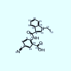 N#Cc1ccc(NC(=O)c2cn(CI)c3ccccc23)c(C(=O)O)c1